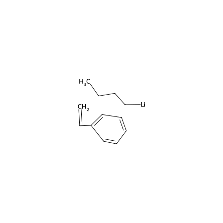 C=Cc1ccccc1.[Li][CH2]CCC